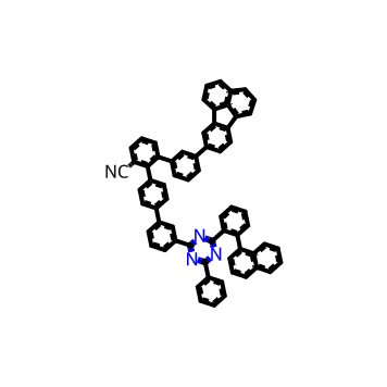 N#Cc1cccc(-c2cccc(-c3ccc4c(c3)-c3cccc5cccc-4c35)c2)c1-c1ccc(-c2cccc(-c3nc(-c4ccccc4)nc(-c4ccccc4-c4cccc5ccccc45)n3)c2)cc1